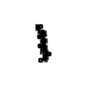 O=NCCCC1OCCN(c2ccc(N3C[C@H](CNC(=O)c4ccc(Cl)s4)OC3=O)cc2)C1=O